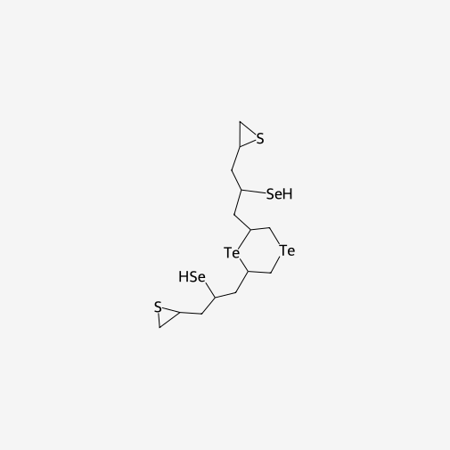 [SeH]C(CC1CS1)CC1C[Te]CC(CC([SeH])CC2CS2)[Te]1